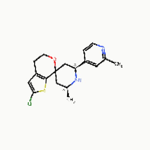 Cc1cc([C@@H]2CC3(C[C@H](C)N2)OCCc2cc(Cl)sc23)ccn1